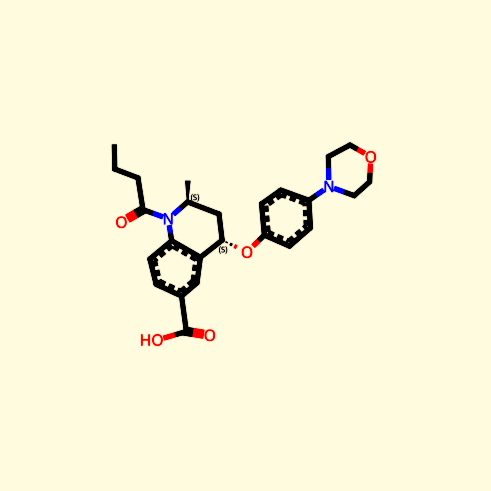 CCCC(=O)N1c2ccc(C(=O)O)cc2[C@@H](Oc2ccc(N3CCOCC3)cc2)C[C@@H]1C